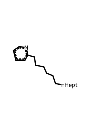 [CH2]CCCCCCCCCCCCc1ccccn1